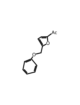 CC(=O)c1ccc(COc2ccccc2)o1